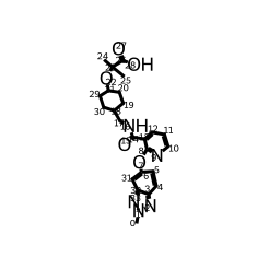 Cn1nc2ccc(Oc3ncccc3C(=O)NCC3CCC(OC(C)(C)C(=O)O)CC3)cc2n1